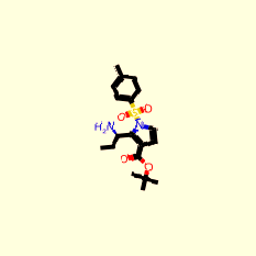 CC[C@@H](N)c1c(C(=O)OC(C)(C)C)ccn1S(=O)(=O)c1ccc(C)cc1